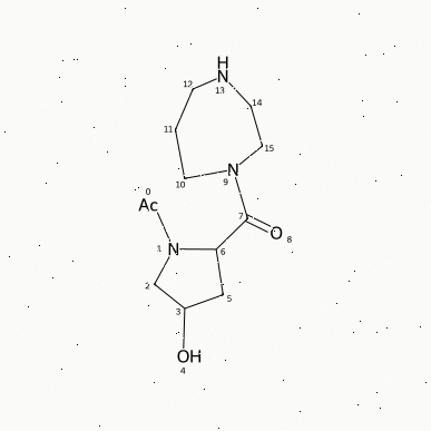 CC(=O)N1CC(O)CC1C(=O)N1CCCNCC1